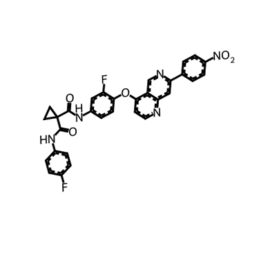 O=C(Nc1ccc(F)cc1)C1(C(=O)Nc2ccc(Oc3ccnc4cc(-c5ccc([N+](=O)[O-])cc5)ncc34)c(F)c2)CC1